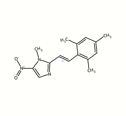 Cc1cc(C)c(/C=C/c2ncc([N+](=O)[O-])n2C)c(C)c1